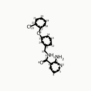 Nc1ncccc1C(=O)NCc1cccc(Oc2ccccc2Cl)c1